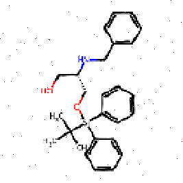 CC(C)(C)[Si](OC[C@H](CO)NCc1ccccc1)(c1ccccc1)c1ccccc1